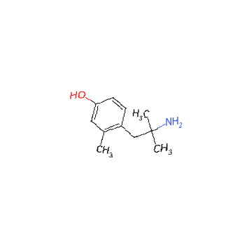 Cc1cc(O)ccc1CC(C)(C)N